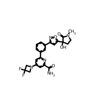 CN1CCC(O)(c2cc(-c3cccc(-c4cc(N5CC(F)(F)C5)cc(C(N)=O)n4)c3)no2)C1=O